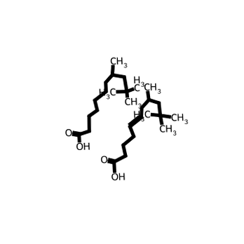 CC(CC=CCCCC(=O)O)CC(C)(C)C.CC(CCCCCCC(=O)O)CC(C)(C)C